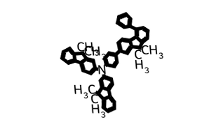 CC1(C)c2ccccc2-c2ccc(N(c3ccc(-c4ccc5c(c4)C(C)(C)c4cccc(-c6ccccc6)c4-5)cc3)c3ccc4c(c3)C(C)(C)c3ccccc3-4)cc21